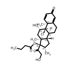 CCCC(=O)O[C@]1(C(=O)CO)[C@@H](C)C[C@H]2[C@@H]3CCC4=CC(=O)C=C[C@]4(C)[C@@]3(Cl)[C@@H](O)C[C@@]21C